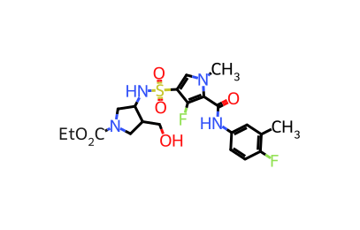 CCOC(=O)N1CC(CO)C(NS(=O)(=O)c2cn(C)c(C(=O)Nc3ccc(F)c(C)c3)c2F)C1